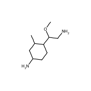 COC(CN)C1CCC(N)CC1C